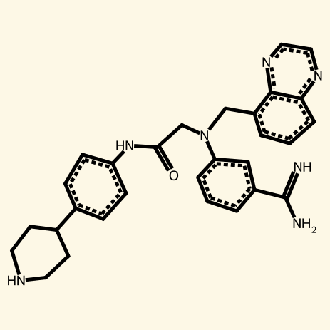 N=C(N)c1cccc(N(CC(=O)Nc2ccc(C3CCNCC3)cc2)Cc2cccc3nccnc23)c1